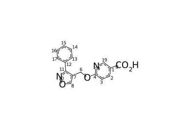 O=C(O)c1ccc(OCc2conc2-c2ccccc2)nc1